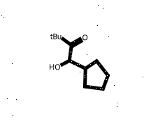 CC(C)(C)C(=O)C(O)C1CCCC1